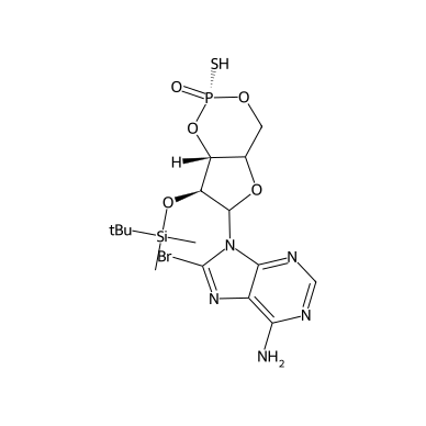 CC(C)(C)[Si](C)(C)O[C@@H]1C(n2c(Br)nc3c(N)ncnc32)OC2CO[P@@](=O)(S)O[C@H]21